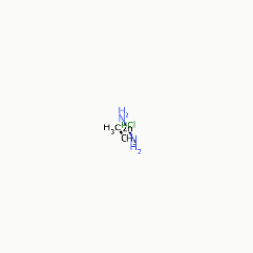 CC.Cl.[NH2][Zn][NH2]